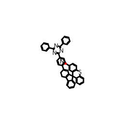 N#Cc1ccc2c(c1)C1(C3=C(CCC(c4ccc(-c5nc(-c6ccccc6)nc(-c6ccccc6)n5)cc4)=C3)c3ccccc31)c1ccccc1S2